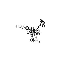 CC(C)[C@H](NC(=O)CCCCCN1C(=O)C=CC1=O)C(=O)N[C@@H](CCCNC(N)=O)C(=O)Nc1ccc(C(=O)O)cc1